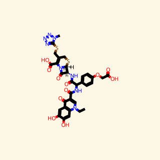 CCn1cc(C(=O)NC(C(=O)N[C@@H]2C(=O)N3C(C(=O)O)=C(CSc4nnnn4C)CS[C@@H]23)c2ccc(OCC(=O)O)cc2)c(=O)c2cc(O)c(O)cc21